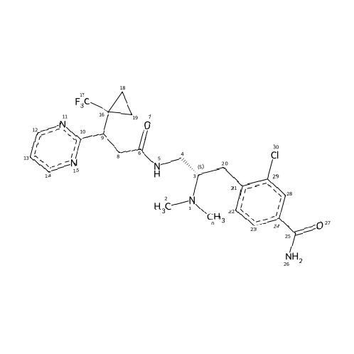 CN(C)[C@H](CNC(=O)CC(c1ncccn1)C1(C(F)(F)F)CC1)Cc1ccc(C(N)=O)cc1Cl